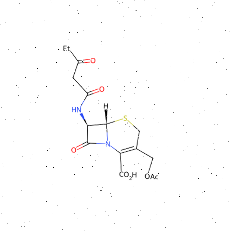 CCC(=O)CC(=O)N[C@@H]1C(=O)N2C(C(=O)O)=C(COC(C)=O)CS[C@@H]12